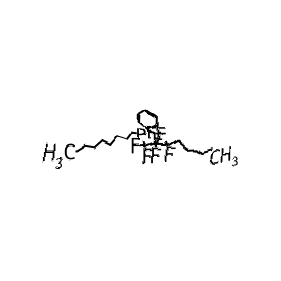 CCCCCCCCCP(C1(F)C=CC=CC1)C(F)(F)C(F)(F)C(F)(F)CCCCCC